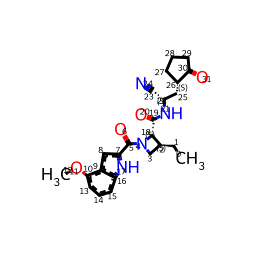 CC[C@H]1CN(C(=O)c2cc3c(OC)cccc3[nH]2)[C@@H]1C(=O)N[C@H](C#N)C[C@@H]1CCCC1=O